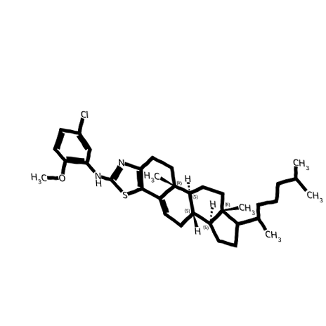 COc1ccc(Cl)cc1Nc1nc2c(s1)C1=CC[C@@H]3[C@H](CC[C@]4(C)C(C(C)CCCC(C)C)CC[C@@H]34)[C@@]1(C)CC2